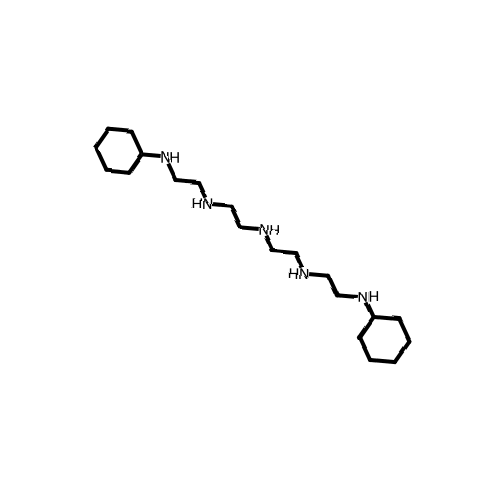 C1CCC(NCCNCCNCCNCCNC2CCCCC2)CC1